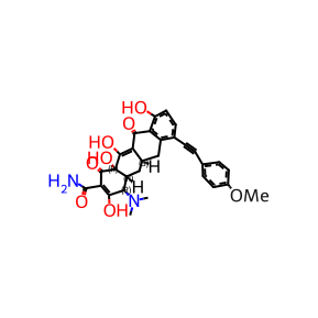 COc1ccc(C#Cc2ccc(O)c3c2C[C@@H]2C[C@@H]4[C@@H](N(C)C)C(O)=C(C(N)=O)C(=O)[C@]4(O)C(O)=C2C3=O)cc1